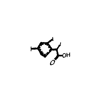 O=C(O)C(I)c1ccc(I)cc1I